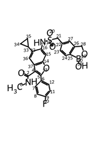 CNC(=O)c1c(-c2ccc(F)cc2)oc2cc(NS(=O)(=O)Cc3ccc4c(c3)COB4O)c(C3CC3)cc12